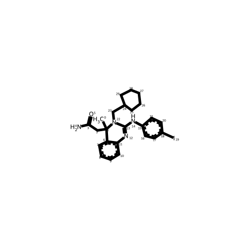 CC1(CC(N)=O)c2ccccc2N=C(Nc2ccc(I)cc2)N1CC1CCCCC1